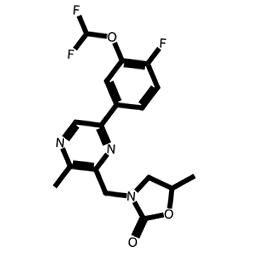 Cc1ncc(-c2ccc(F)c(OC(F)F)c2)nc1CN1CC(C)OC1=O